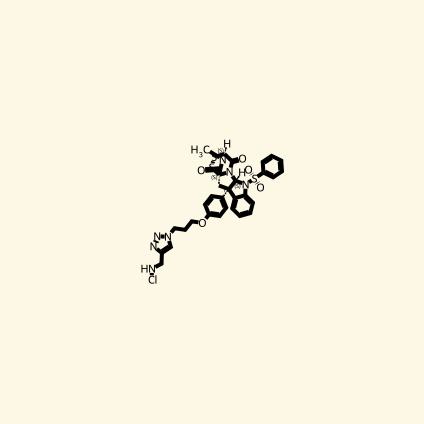 CN1C(=O)[C@@]23C[C@]4(c5ccc(OCCCn6cc(CNCl)nn6)cc5)c5ccccc5N(S(=O)(=O)c5ccccc5)[C@@H]4N2C(=O)[C@@H]1SS3